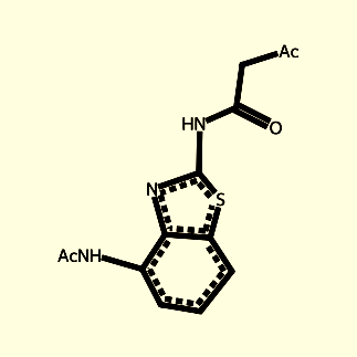 CC(=O)CC(=O)Nc1nc2c(NC(C)=O)cccc2s1